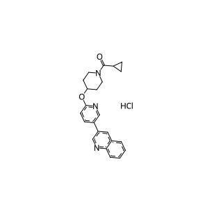 Cl.O=C(C1CC1)N1CCC(Oc2ccc(-c3cnc4ccccc4c3)cn2)CC1